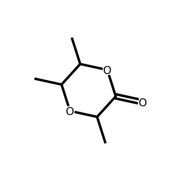 CC1OC(C)C(C)OC1=O